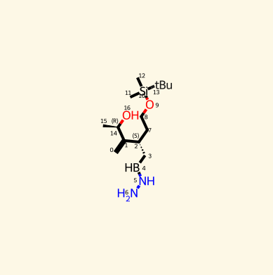 C=C([C@@H](CBNN)CCO[Si](C)(C)C(C)(C)C)[C@@H](C)O